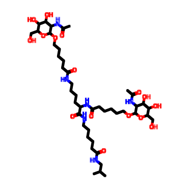 CC(=O)NC1C(OCCCCCC(=O)NCCCCC(NC(=O)CCCCCOC2OC(CO)C(O)C(O)C2NC(C)=O)C(=O)NCCCCCC(=O)NCC(C)C)OC(CO)C(O)C1O